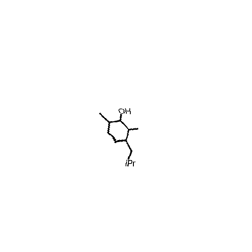 CC(C)CC1CCC(C)C(O)C1C